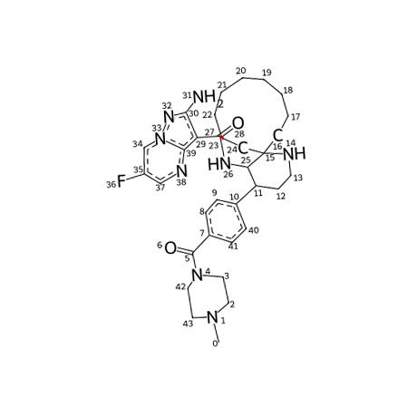 CN1CCN(C(=O)c2ccc(C3CCNC4(CCCCCCCCC4)C3NC(=O)c3c(N)nn4cc(F)cnc34)cc2)CC1